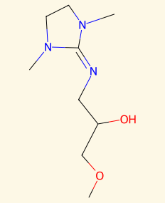 COCC(O)CN=C1N(C)CCN1C